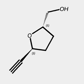 C#C[C@@H]1CC[C@@H](CO)O1